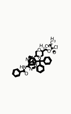 CN(C)P(=O)(Cl)OCC1CN(C(c2ccccc2)(c2ccccc2)c2ccccc2)C(n2cnc3c(NC(=O)c4ccccc4)ncnc32)CO1